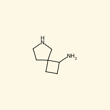 NC1CCC12CCNC2